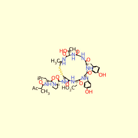 CC(=O)C(C)C(=O)N[C@@H](CC(C)C)C(=O)N1CCC[C@H]1C(=O)N[C@H]1CSSC[C@@H](C)NC(=O)C([C@@H](C)O)NC(=O)CNC(=O)[C@H](Cc2ccc(O)cc2)NC(=O)[C@H](Cc2ccc(O)cc2)NC(=O)[C@H](CC(=O)O)NC1=O